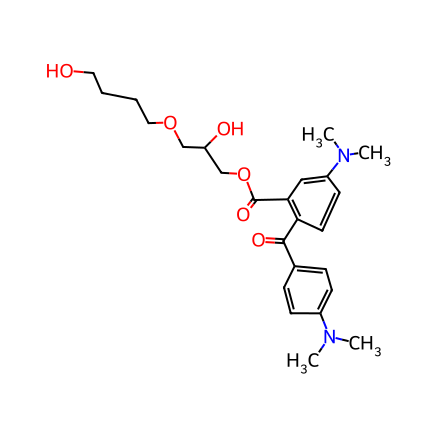 CN(C)c1ccc(C(=O)c2ccc(N(C)C)cc2C(=O)OCC(O)COCCCCO)cc1